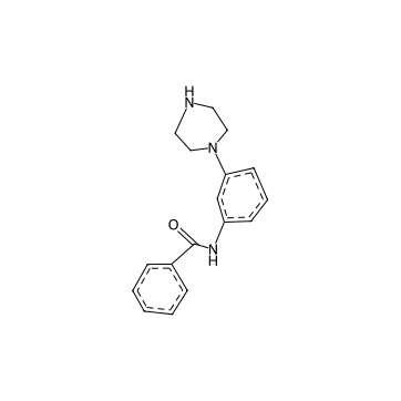 O=C(Nc1cccc(N2CCNCC2)c1)c1ccccc1